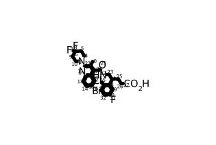 Cc1c(N2CCC(F)(F)CC2)nc2ccc(Br)cc2c1C(=O)NCC(CCC(=O)O)c1cc(F)ccc1Cl